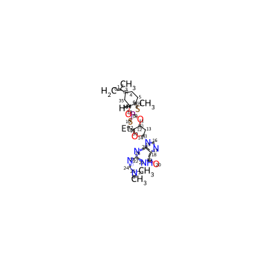 C=C(C)[C@H]1CC[C@@]2(C)S[P@@](=S)(O[C@H]3C[C@H](n4cnc5c(=O)[nH]c(/N=C\N(C)C)nc54)O[C@@H]3CC)O[C@@H]2C1